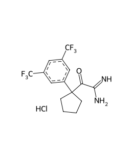 Cl.N=C(N)C(=O)C1(c2cc(C(F)(F)F)cc(C(F)(F)F)c2)CCCC1